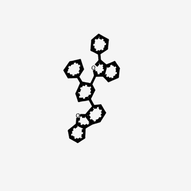 c1ccc(-c2ccc(-c3cccc4c3oc3ccccc34)cc2-c2oc(-c3ccccc3)c3ccccc23)cc1